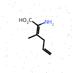 C=CC/C(C)=C(\N)C(=O)O